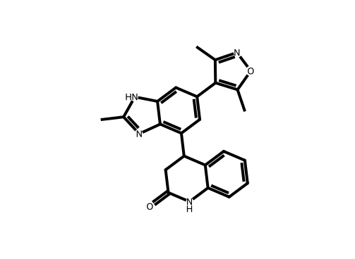 Cc1nc2c(C3CC(=O)Nc4ccccc43)cc(-c3c(C)noc3C)cc2[nH]1